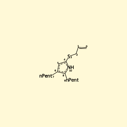 C=CCSc1cc(CCCCC)c(CCCCC)[nH]1